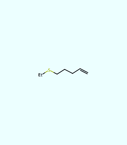 [CH2]CSCCCC=C